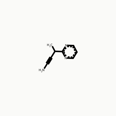 CC(C#CN)c1ncccn1